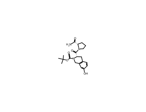 CC(C)(C)OC(=O)N1Cc2cc(O)ccc2C[C@H]1C(=O)N1CCC[C@H]1C(N)=O